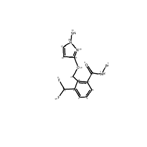 O=C(NBr)c1cccc(C(F)F)c1COc1ccn(S)n1